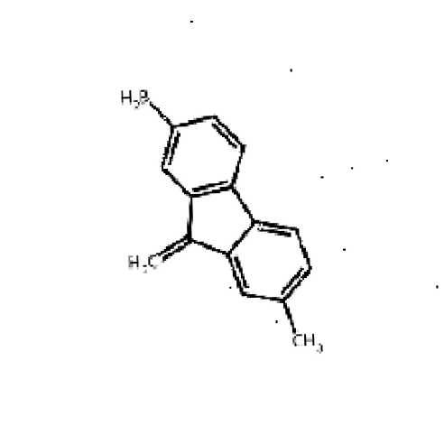 Bc1ccc2c(c1)C(=C)c1cc(C)ccc1-2